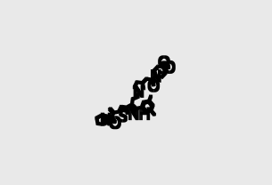 C=C(C(=O)N1C2CCC1CC2)c1cc2c(CCN3CCC(CC(=O)N4CCS(=O)(=O)CC4)C3)c(-c3cc(C)cc(C)c3)[nH]c2s1